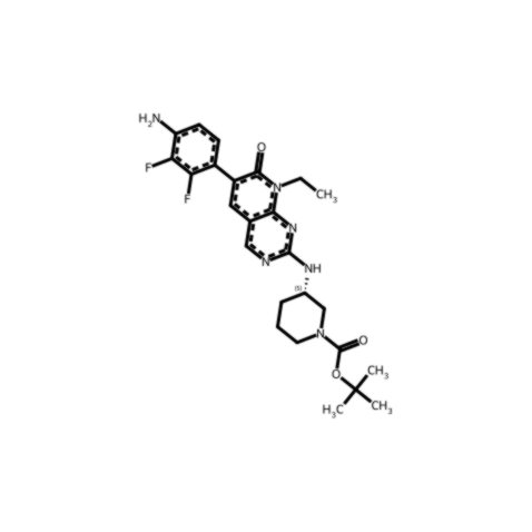 CCn1c(=O)c(-c2ccc(N)c(F)c2F)cc2cnc(N[C@H]3CCCN(C(=O)OC(C)(C)C)C3)nc21